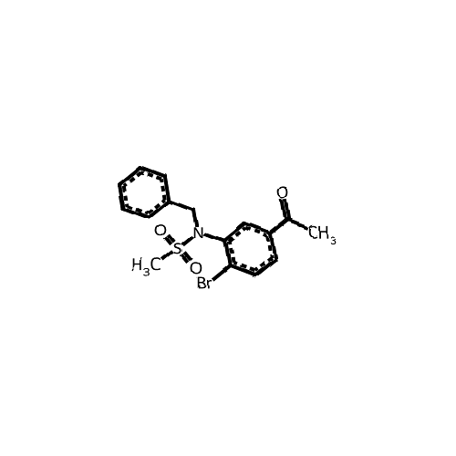 CC(=O)c1ccc(Br)c(N(Cc2ccccc2)S(C)(=O)=O)c1